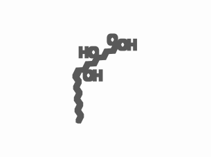 CCCCCCCC/C=C\C(O)CCC(O)CCCC(=O)O